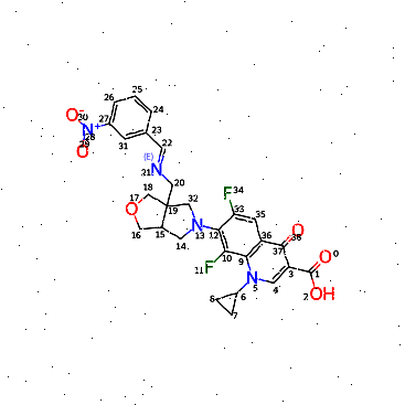 O=C(O)c1cn(C2CC2)c2c(F)c(N3CC4COCC4(C/N=C/c4cccc([N+](=O)[O-])c4)C3)c(F)cc2c1=O